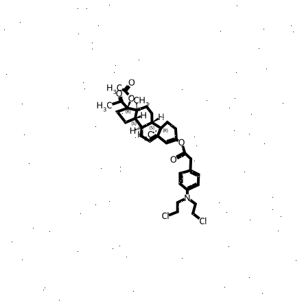 CC(=O)O[C@]1(C(C)=O)CC[C@H]2[C@@H]3CC=C4C=C(OC(=O)Cc5ccc(N(CCCl)CCCl)cc5)CC[C@]4(C)[C@H]3CC[C@@]21C